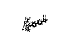 O=C(N[C@H](CF)[C@H](OP(=O)(O)O)c1ccc(-c2ccc(C3CCN3)nc2)cc1)C(F)F